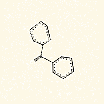 O=C(c1[c]cc[c]c1)c1[c]cc[c]c1